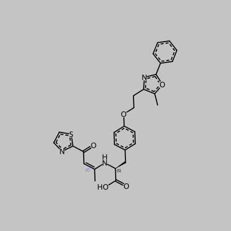 C/C(=C/C(=O)c1nccs1)N[C@@H](Cc1ccc(OCCc2nc(-c3ccccc3)oc2C)cc1)C(=O)O